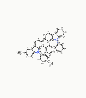 Cc1ccc2c(c1)c1cccc(-c3ccccc3-c3cccc4c5ccccc5n(-c5ccccc5)c34)c1n2-c1ccc(C#N)cc1